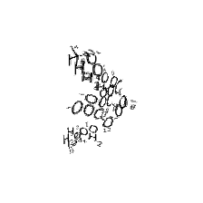 O.O.O.O.O.O.O.O=C([O-])[O-].O=C([O-])[O-].O=C([O-])[O-].[La+3].[La+3]